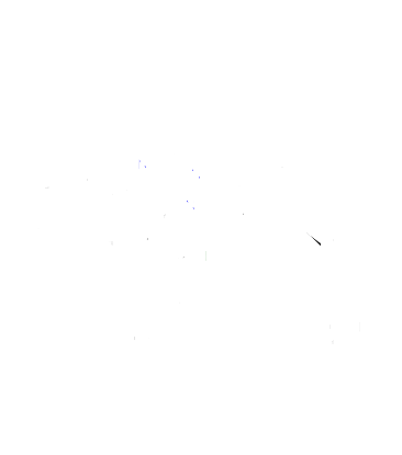 Cc1ccc(-c2nn(C[C@H]3CC[C@H](COCC(=O)O)CC3)c(=O)nc2-c2ccccc2)c(F)c1